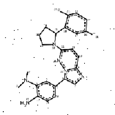 CN(C)c1cc(-c2cnc3ccc(N4CCCC4c4cc(F)ccc4F)nn23)ccc1N